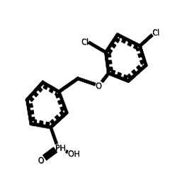 O=[PH](O)c1cccc(COc2ccc(Cl)cc2Cl)c1